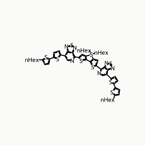 CCCCCCc1ccc(-c2ccc(-c3cnc(-c4cc5c(s4)-c4sc(-c6ncc(-c7ccc(-c8ccc(CCCCCC)s8)s7)c7nsnc67)cc4S5(CCCCCC)CCCCCC)c4nsnc34)s2)s1